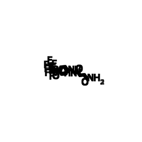 NC(=O)CCC(=O)NNc1ccc(S(=O)(=O)C(F)(F)C(F)(F)C(F)(F)F)cc1